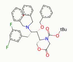 CC(C)(C)OC(=O)N1CC(=O)OC[C@@H]1[C@@H](OCc1ccccc1)[C@H](Cc1cc(F)cc(F)c1)N(Cc1ccccc1)Cc1ccccc1